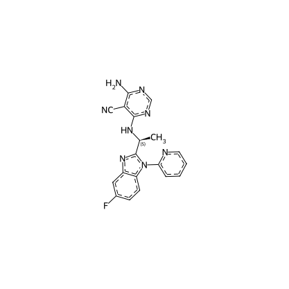 C[C@H](Nc1ncnc(N)c1C#N)c1nc2cc(F)ccc2n1-c1ccccn1